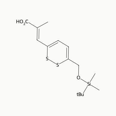 CC(=CC1=CC=C(CO[Si](C)(C)C(C)(C)C)SS1)C(=O)O